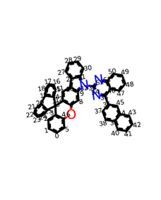 c1ccc2c(c1)Oc1cc3c(cc1C21c2ccccc2-c2ccccc21)c1ccccc1n3-c1nc(-c2ccc3ccccc3c2)c2ccccc2n1